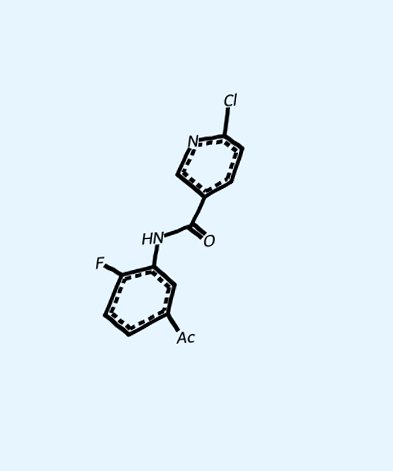 CC(=O)c1ccc(F)c(NC(=O)c2ccc(Cl)nc2)c1